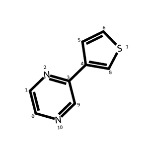 c1cnc(-c2ccsc2)cn1